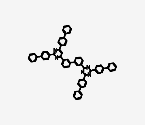 c1ccc(-c2ccc(-c3cc(-c4cccc(-c5cccc(-c6nc(-c7ccc(-c8ccccc8)cc7)nc(-c7ccc(-c8ccccc8)cc7)n6)c5)c4)nc(-c4ccc(-c5ccccc5)cc4)n3)cc2)cc1